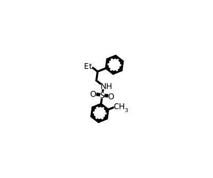 [CH2]CC(CNS(=O)(=O)c1ccccc1C)c1ccccc1